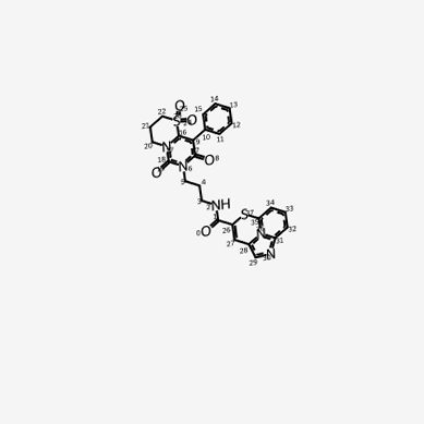 O=C(NCCCn1c(=O)c(-c2ccccc2)c2n(c1=O)CCCS2(=O)=O)C1=Cc2cnc3cccc(n23)S1